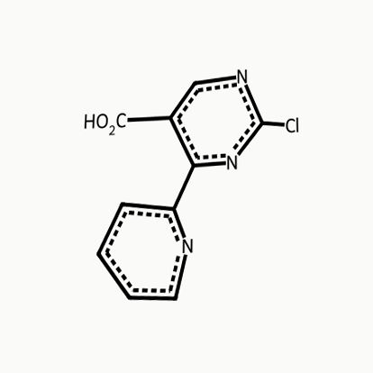 O=C(O)c1cnc(Cl)nc1-c1ccccn1